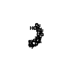 O=C(O)C(F)(F)CC(F)(F)C(=O)OC12CC3CC(C1)C1(OCC(F)(F)C(F)(F)CO1)C(C3)C2